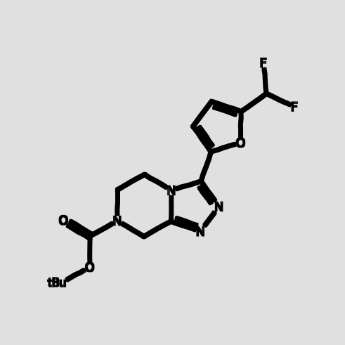 CC(C)(C)OC(=O)N1CCn2c(nnc2-c2ccc(C(F)F)o2)C1